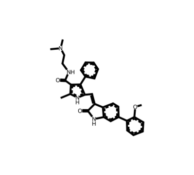 COc1ccccc1-c1ccc2c(c1)NC(=O)C2=Cc1[nH]c(C)c(C(=O)NCCN(C)C)c1-c1ccccc1